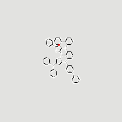 c1ccc(-c2ccc(N3c4cccc5c4B(c4oc(-c6ccccc6)cc4N5c4ccccc4-c4ccccc4)n4cc(N(c5ccccc5)c5ccccc5)cc43)cc2)cc1